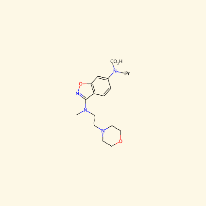 CC(C)N(C(=O)O)c1ccc2c(N(C)CCN3CCOCC3)noc2c1